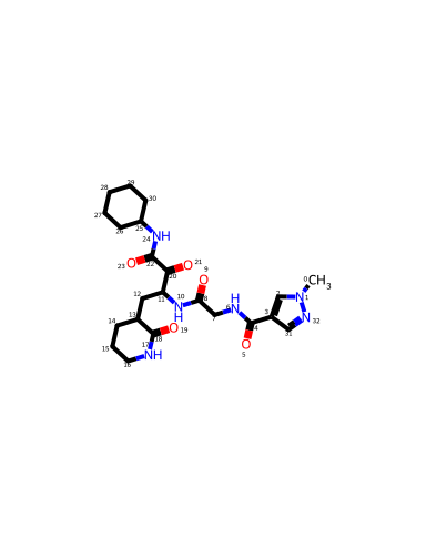 Cn1cc(C(=O)NCC(=O)NC(CC2CCCNC2=O)C(=O)C(=O)NC2CCCCC2)cn1